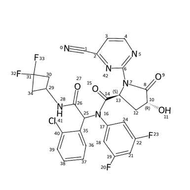 N#Cc1ccnc(N2C(=O)[C@H](O)C[C@H]2C(=O)N(c2cc(F)cc(F)c2)C(C(=O)NC2CC(F)(F)C2)c2ccccc2Cl)n1